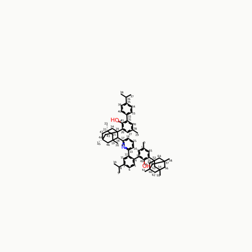 Cc1cc(-c2ccc(C(C)C)cc2-c2cccc(C3C4(C)C[C@]5(C)CC3(c3cc(C)cc(-c6ccc(C(C)C)cc6)c3O)C[C@@](C)(C4)C5)n2)c(O)c(C23CC4(C)CC(C)(CC(C)(C4)C2)C3)c1